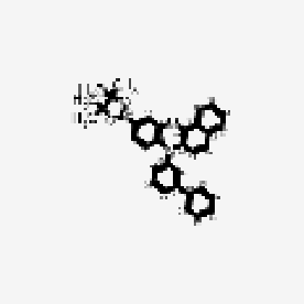 CC1(C)OB(c2ccc3c(c2)Oc2c(ccc4ccccc24)N3c2cccc(-c3ccccc3)c2)OC1(C)C